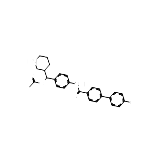 CC(=O)OC(c1ccc(NC(=O)c2ccc(-c3ccc(Cl)cc3)cc2)cc1)C1CCCNC1